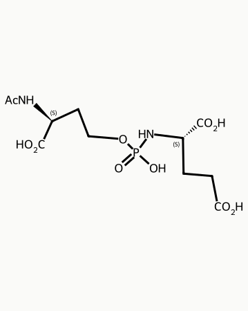 CC(=O)N[C@@H](CCOP(=O)(O)N[C@@H](CCC(=O)O)C(=O)O)C(=O)O